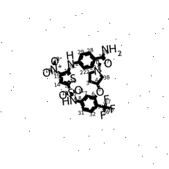 CN1CCC(Oc2cc(NS(=O)(=O)c3cc([N+](=O)[O-])c(Nc4ccc(C(N)=O)cc4)s3)ccc2C(F)(F)F)C1